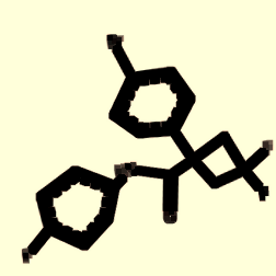 O=C(Nc1ccc(F)cc1)C1(c2ccc(Br)cc2)CC(F)(F)C1